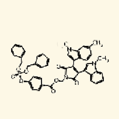 Cc1ccc2c(C3=C(c4cn(C)c5ccccc45)C(=O)N(COC(=O)c4ccc(OP(=O)(OCc5ccccc5)OCc5ccccc5)cc4)C3=O)cn(C)c2c1